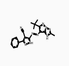 Cc1nn2nc(C(C)(C)C)c(/N=N/c3[nH]nc(-c4ccccc4)c3C#N)c2[nH]1